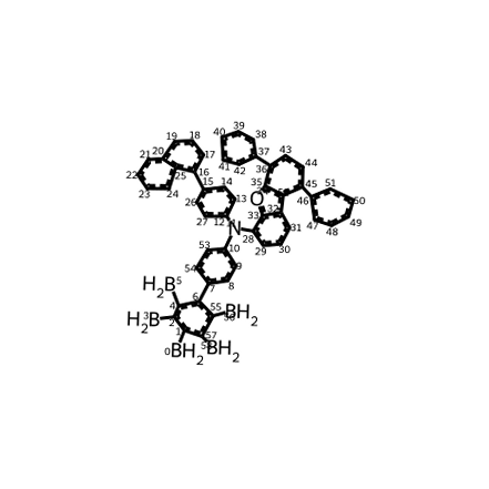 Bc1c(B)c(B)c(-c2ccc(N(c3ccc(-c4cccc5ccccc45)cc3)c3cccc4c3oc3c(-c5ccccc5)ccc(-c5ccccc5)c34)cc2)c(B)c1B